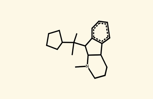 CN1CCCC2c3ccccc3C(C(C)(C)C3CCCC3)C21